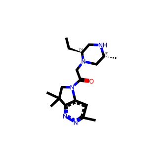 CC[C@H]1CN[C@H](C)CN1CC(=O)N1CC(C)(C)c2nnc(C)cc21